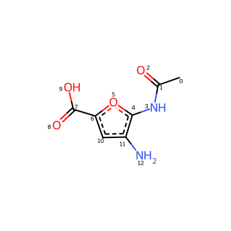 CC(=O)Nc1oc(C(=O)O)cc1N